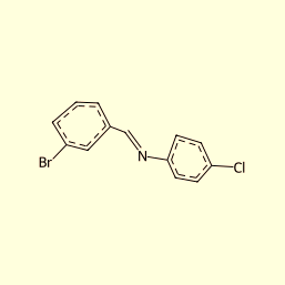 Clc1ccc(N=Cc2cccc(Br)c2)cc1